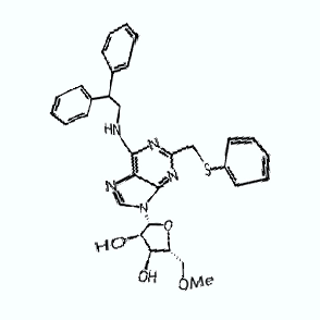 COC[C@H]1O[C@@H](n2cnc3c(NCC(c4ccccc4)c4ccccc4)nc(CSc4ccccc4)nc32)[C@H](O)[C@@H]1O